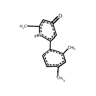 Cc1ccc(-c2cc(=O)cc(C)[nH]2)c(C)c1